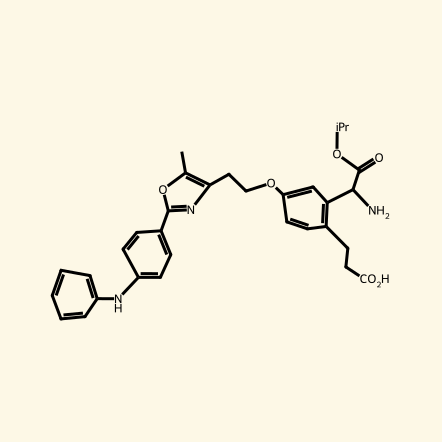 Cc1oc(-c2ccc(Nc3ccccc3)cc2)nc1CCOc1ccc(CCC(=O)O)c(C(N)C(=O)OC(C)C)c1